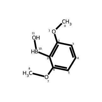 COc1cccc(OC)c1BO